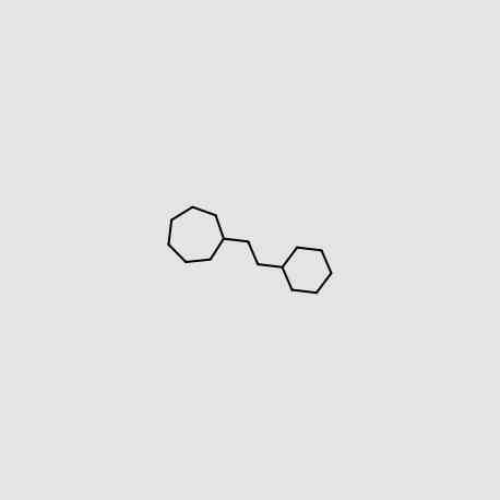 C1CCCC(CCC2CCCCC2)CC1